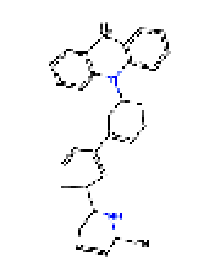 N#CC1C=CCC(C2C=C(C3=CCCC(N4c5ccccc5[SiH2]c5ccccc54)C3)C=CC2)N1